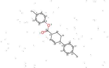 Cc1ccc(OC(=O)C2C=CC(c3ccc(C)cc3)CC2)cc1